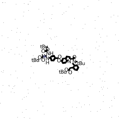 CC(C)(C)CN(Cc1ccccc1CC(=O)OC(C)(C)C)C(=O)c1ccc2cc(OC(=O)c3ccc(N/C(=N\C(=O)OC(C)(C)C)NC(=O)OC(C)(C)C)cc3)ccc2n1